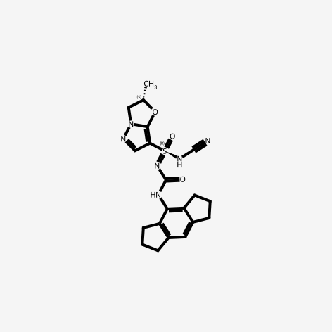 C[C@H]1Cn2ncc([S@](=O)(=NC(=O)Nc3c4c(cc5c3CCC5)CCC4)NC#N)c2O1